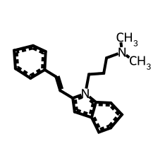 CN(C)CCCn1c(C=Cc2ccccc2)cc2ccccc21